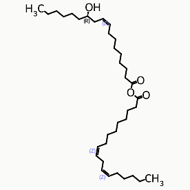 CCCCC/C=C\C/C=C\CCCCCCCC(=O)OC(=O)CCCCCCC/C=C\C[C@H](O)CCCCCC